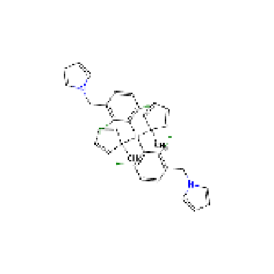 C[C]1([Ti]([c]2c(F)ccc(Cn3cccc3)c2F)([c]2c(F)ccc(Cn3cccc3)c2F)[C]2(C)C=CC=C2)C=CC=C1